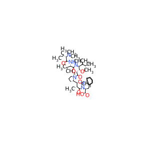 CC[C@H](C)C([C@@H](CC(=O)N1CCC[C@H]1[C@H](OC)[C@@H](C)C(=O)N[C@@H](Cc1ccccc1)C(=O)O)OC)N(C)C(=O)[C@@H](NC(=O)[C@H](C(C)C)N(C)C)C(C)C